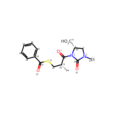 CCN1C[C@@H](C(=O)O)N(C(=O)[C@H](C)CSC(=O)c2ccccc2)C1=O